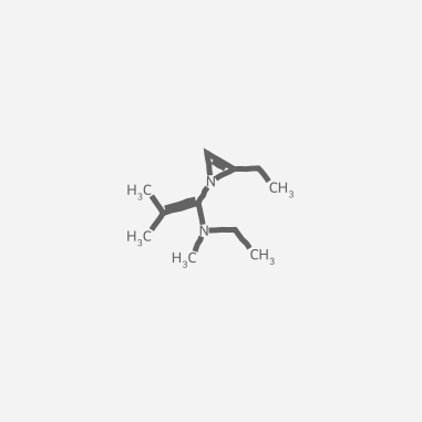 CCC1=CN1C(=C(C)C)N(C)CC